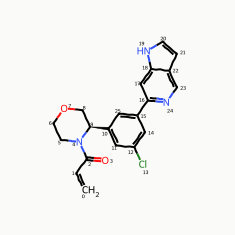 C=CC(=O)N1CCOC[C@H]1c1cc(Cl)cc(-c2cc3[nH]ccc3cn2)c1